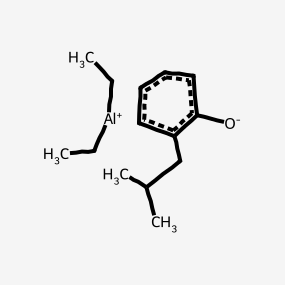 CC(C)Cc1ccccc1[O-].C[CH2][Al+][CH2]C